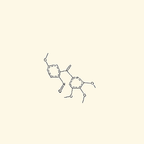 C=C(c1cc(OC)c(OC)c(OC)c1)c1cc(OC)ccc1N=O